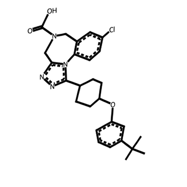 CC(C)(C)c1cccc(OC2CCC(c3nnc4n3-c3ccc(Cl)cc3CN(C(=O)O)C4)CC2)c1